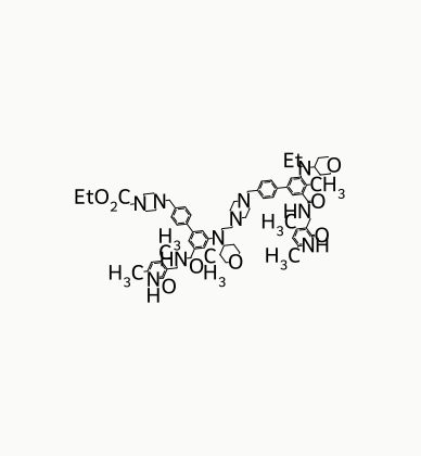 CCOC(=O)CN1CCN(Cc2ccc(-c3cc(C(=O)NCc4c(C)cc(C)[nH]c4=O)c(C)c(N(CCN4CCN(Cc5ccc(-c6cc(C(=O)NCc7c(C)cc(C)[nH]c7=O)c(C)c(N(CC)C7CCOCC7)c6)cc5)CC4)C4CCOCC4)c3)cc2)CC1